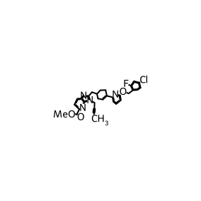 CC#CCn1c(CC2CC=C(c3cccc(OCc4ccc(Cl)cc4F)n3)CC2)nc2ccc(C(=O)OC)nc21